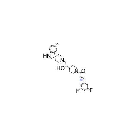 Cc1ccc2c(c1)C1(CCN(CC(O)C3CCN(C(=O)/C=C/c4cc(F)cc(F)c4)CC3)CC1)CN2